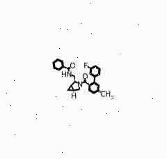 Cc1ccc(C(=O)N2C[C@H]3CC3[C@H]2CNC(=O)c2ccccc2)c(-c2cccc(F)c2)c1